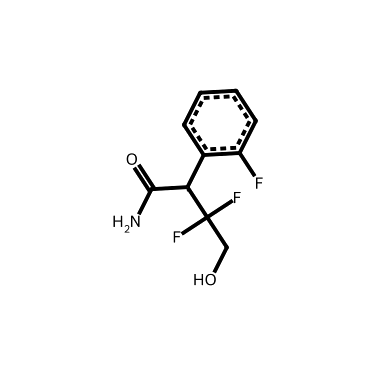 NC(=O)[C](c1ccccc1F)C(F)(F)CO